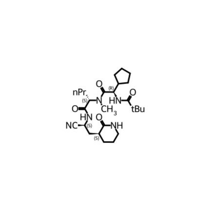 CCC[C@@H](C(=O)N[C@H](C#N)C[C@@H]1CCCNC1=O)N(C)C(=O)[C@H](NC(=O)C(C)(C)C)C1CCCC1